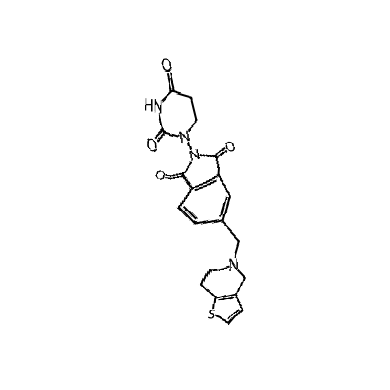 O=C1CCN(N2C(=O)c3ccc(CN4CCc5sccc5C4)cc3C2=O)C(=O)N1